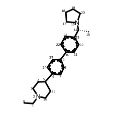 CCN1CCC(c2ccc(-c3ccc([C@@H](C)N4CCCC4)cc3)cc2)CC1